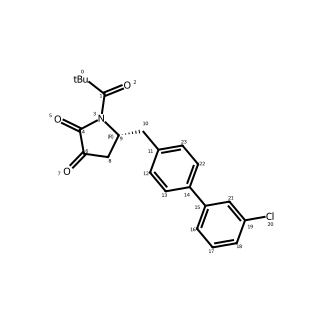 CC(C)(C)C(=O)N1C(=O)C(=O)C[C@H]1Cc1ccc(-c2cccc(Cl)c2)cc1